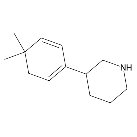 CC1(C)C=CC(C2CCCNC2)=CC1